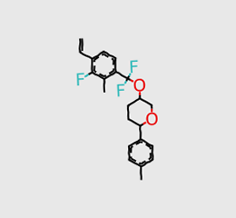 C=Cc1ccc(C(F)(F)OC2CCC(c3ccc(C)cc3)OC2)c(C)c1F